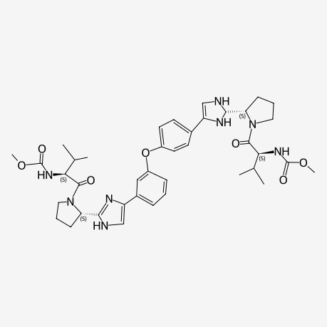 COC(=O)N[C@H](C(=O)N1CCC[C@H]1c1nc(-c2cccc(Oc3ccc(C4=CNC([C@@H]5CCCN5C(=O)[C@@H](NC(=O)OC)C(C)C)N4)cc3)c2)c[nH]1)C(C)C